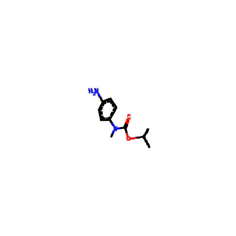 CC(C)OC(=O)N(C)c1ccc(N)cc1